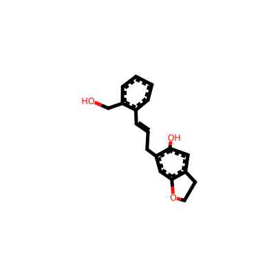 OCc1ccccc1C=CCc1cc2c(cc1O)CCO2